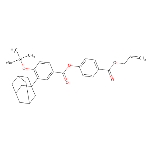 C=CCOC(=O)c1ccc(OC(=O)c2ccc(O[Si](C)(C)C(C)(C)C)c(C34CC5CC(CC(C5)C3)C4)c2)cc1